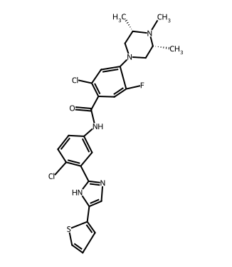 C[C@@H]1CN(c2cc(Cl)c(C(=O)Nc3ccc(Cl)c(-c4ncc(-c5cccs5)[nH]4)c3)cc2F)C[C@H](C)N1C